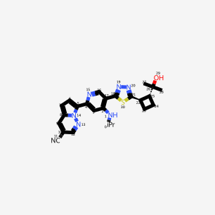 CC(C)Nc1cc(-c2ccc3cc(C#N)cnn23)ncc1-c1nnc([C@@H]2CC[C@H]2C(C)(C)O)s1